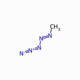 CN=NN=[N+]=[N-]